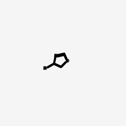 BrC1C[N]C=N1